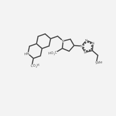 CSCc1nnn(C2CC(C(=O)O)N(CC3CCC4CNC(C(=O)O)CC4C3)C2)n1